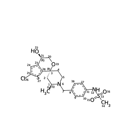 C[C@H]1C[C@@]2(CCN1Cc1ccc(NS(C)(=O)=O)cc1)OC[C@H](O)c1cc(Cl)sc12